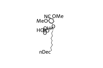 CCCCCCCCCCCCCCCCCCC[C@H](COP(=O)(O)O)Oc1cc(OC)c(C#N)c(OC)c1